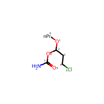 CCCOC(CCCl)OC(N)=O